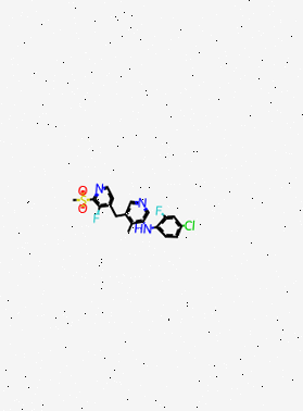 Cc1c(Cc2ccnc(S(C)(=O)=O)c2F)cncc1Nc1ccc(Cl)cc1F